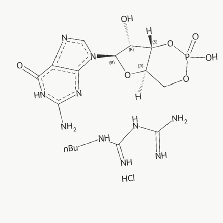 CCCCNC(=N)NC(=N)N.Cl.Nc1nc2c(ncn2[C@@H]2O[C@@H]3COP(=O)(O)O[C@H]3[C@H]2O)c(=O)[nH]1